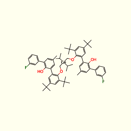 Cc1cc(-c2cccc(F)c2)c(O)c(-c2cc(C(C)(C)C)cc(C(C)(C)C)c2O[CH2][Ge]([CH2]Oc2c(-c3cc(C)cc(-c4cccc(F)c4)c3O)cc(C(C)(C)C)cc2C(C)(C)C)([CH](C)C)[CH](C)C)c1